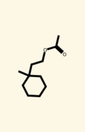 CC(=O)OCCC1(C)CCCCC1